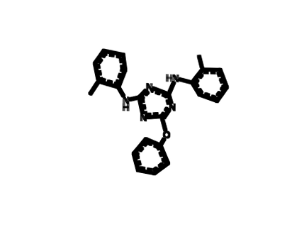 Cc1ccccc1Nc1nc(Nc2ccccc2C)nc(Oc2ccccc2)n1